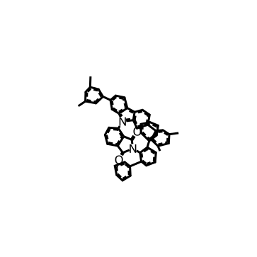 Cc1cc(C)cc(-c2ccc3c4ccc(-c5cc(C)cc(C)c5)cc4n(-c4cccc5c4C(=O)N(c4c(-c6ccccc6)cccc4-c4ccccc4)C5=O)c3c2)c1